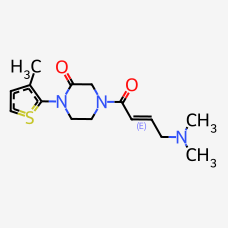 Cc1ccsc1N1CCN(C(=O)/C=C/CN(C)C)CC1=O